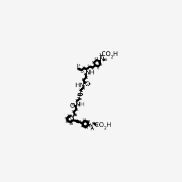 CN(CC(=O)O)C1=CC=C(/C=C/C(=C/C=C\I)NCCCC(=O)NCCSSCCNC(=O)CCC[n+]2ccccc2C#Cc2ccc(N(C)CC(=O)O)cc2)CC1